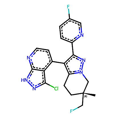 C[C@@]1(CF)CCc2c(-c3ccnc4[nH]nc(Cl)c34)c(-c3ccc(F)cn3)nn2C1